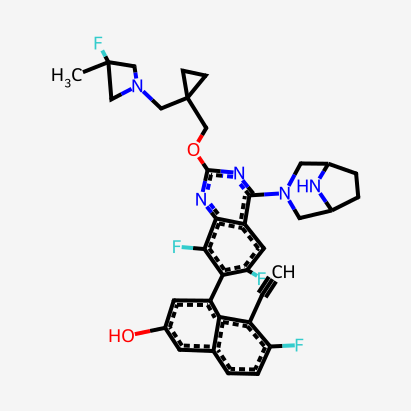 C#Cc1c(F)ccc2cc(O)cc(-c3c(F)cc4c(N5CC6CCC(C5)N6)nc(OCC5(CN6CC(C)(F)C6)CC5)nc4c3F)c12